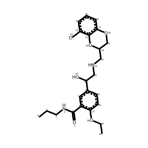 CCCNC(=O)c1cc(C(O)CNCC2COc3cccc(Cl)c3O2)ccc1OCC